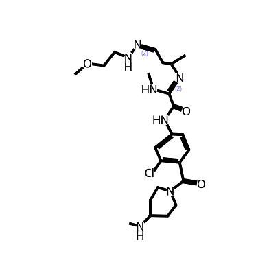 CN/C(=N\C(C)C/C=N\NCCOC)C(=O)Nc1ccc(C(=O)N2CCC(NC)CC2)c(Cl)c1